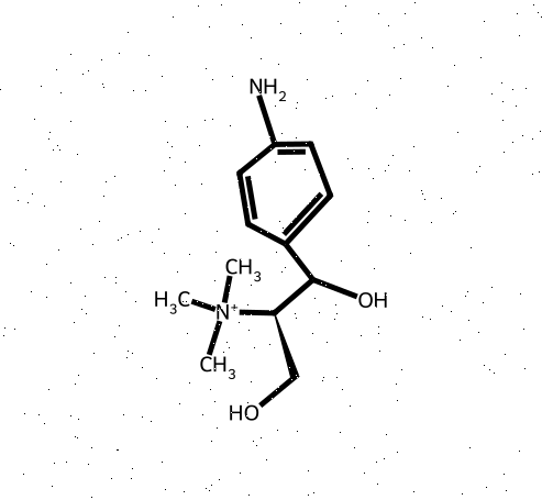 C[N+](C)(C)[C@H](CO)C(O)c1ccc(N)cc1